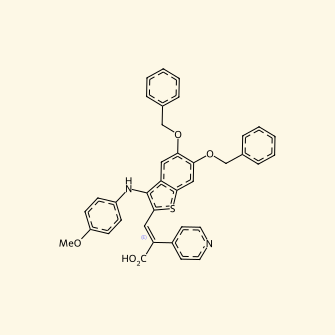 COc1ccc(Nc2c(/C=C(/C(=O)O)c3ccncc3)sc3cc(OCc4ccccc4)c(OCc4ccccc4)cc23)cc1